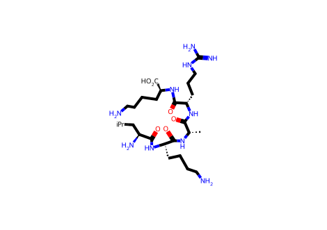 CC(C)C[C@H](N)C(=O)N[C@@H](CCCCN)C(=O)N[C@@H](C)C(=O)N[C@@H](CCCNC(=N)N)C(=O)N[C@@H](CCCCN)C(=O)O